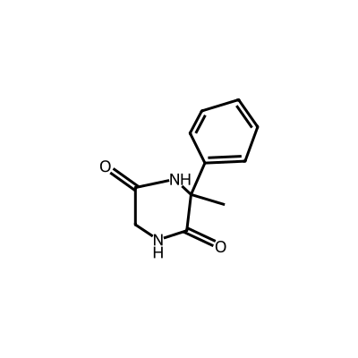 CC1(c2ccccc2)NC(=O)CNC1=O